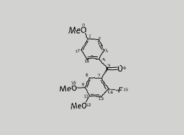 COc1ccc(C(=O)c2cc(OC)c(OC)cc2F)cc1